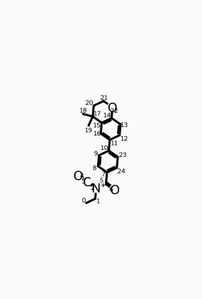 CC[N+](=C=O)C(=O)c1ccc(-c2ccc3c(c2)C(C)(C)CCO3)cc1